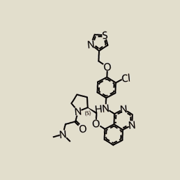 CN(C)CC(=O)N1CCC[C@H]1COc1cccc2ncnc(Nc3ccc(OCc4cscn4)c(Cl)c3)c12